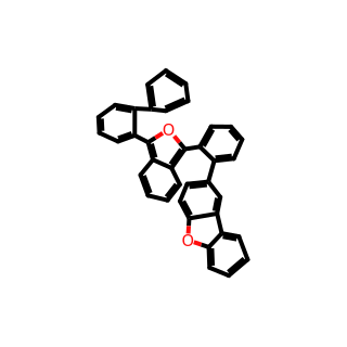 c1ccc(-c2ccccc2-c2oc(-c3ccccc3-c3ccc4oc5ccccc5c4c3)c3ccccc23)cc1